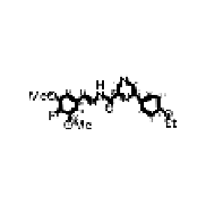 CCOc1ccc(-c2cncc(C(=O)NN=Cc3cc(OC)c(F)c(OC)c3)n2)cc1